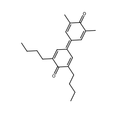 CCCCC1=CC(=C2C=C(C)C(=O)C(C)=C2)C=C(CCCC)C1=O